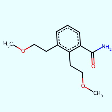 COCCc1cccc(C(N)=O)c1CCOC